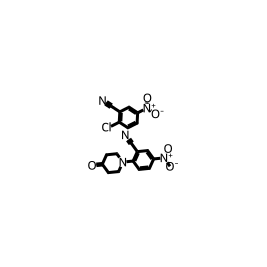 N#Cc1cc([N+](=O)[O-])ccc1Cl.N#Cc1cc([N+](=O)[O-])ccc1N1CCC(=O)CC1